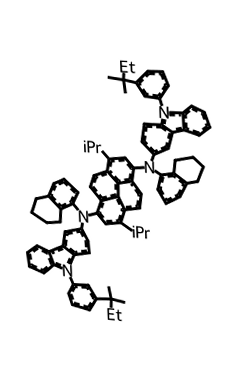 CCC(C)(C)c1cccc(-n2c3ccccc3c3cc(N(c4cccc5c4CCCC5)c4cc(C(C)C)c5ccc6c(N(c7ccc8c(c7)c7ccccc7n8-c7cccc(C(C)(C)CC)c7)c7cccc8c7CCCC8)cc(C(C)C)c7ccc4c5c76)ccc32)c1